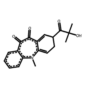 Cn1c2c(c(=O)c(=O)c3ccccc31)=CC(C(=O)C(C)(C)O)CC=2